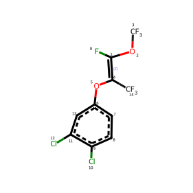 F/C(OC(F)(F)F)=C(\Oc1ccc(Cl)c(Cl)c1)C(F)(F)F